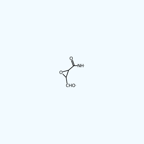 [NH]C(=O)C1OC1[C]=O